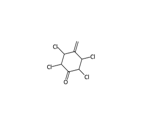 C=C1C(Cl)C(Cl)C(=O)C(Cl)C1Cl